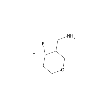 NCC1COCCC1(F)F